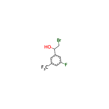 OC(CBr)c1cc(F)cc(C(F)(F)F)c1